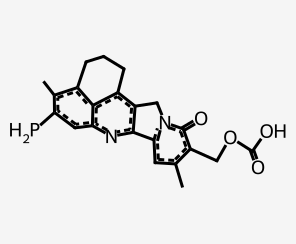 Cc1cc2n(c(=O)c1COC(=O)O)Cc1c-2nc2cc(P)c(C)c3c2c1CCC3